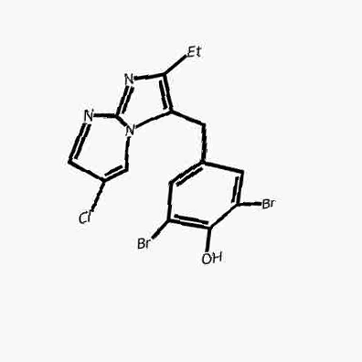 CCc1nc2ncc(Cl)cn2c1Cc1cc(Br)c(O)c(Br)c1